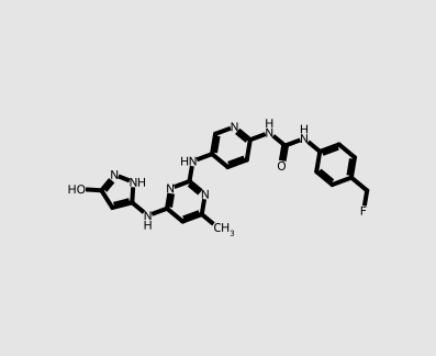 Cc1cc(Nc2cc(O)n[nH]2)nc(Nc2ccc(NC(=O)Nc3ccc(CF)cc3)nc2)n1